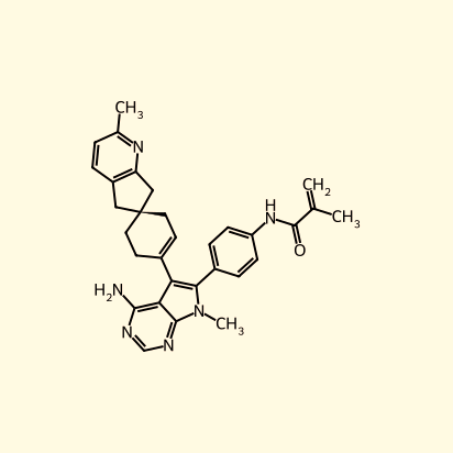 C=C(C)C(=O)Nc1ccc(-c2c(C3=CC[C@@]4(CC3)Cc3ccc(C)nc3C4)c3c(N)ncnc3n2C)cc1